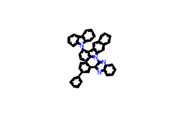 c1ccc(-c2cccc(-c3nc4ccccc4nc3-n3c4cc5ccccc5cc4c4c(-n5c6ccccc6c6ccccc65)cccc43)c2)cc1